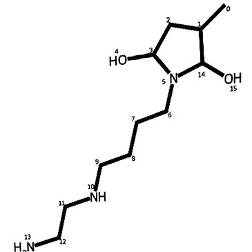 CC1CC(O)N(CCCCNCCN)C1O